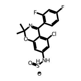 CC1(C)N=C(c2ccc(F)cc2F)c2c(Cl)cc(N[SH](=O)=O)cc2O1